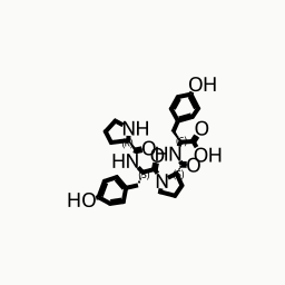 O=C(O)[C@H](Cc1ccc(O)cc1)NC(=O)[C@@H]1CCCN1C(=O)[C@H](Cc1ccc(O)cc1)NC(=O)[C@H]1CCCN1